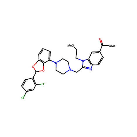 COCCn1c(CN2CCN(c3cccc4c3OC(c3ccc(Cl)cc3F)O4)CC2)nc2ccc(C(=O)OC)cc21